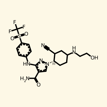 N#CC1CC(NCCO)CC[C@@H]1n1cc(C(N)=O)c(Nc2ccc(S(=O)(=O)C(F)(F)F)cc2)n1